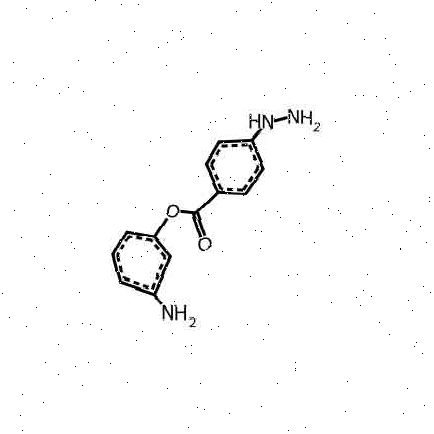 NNc1ccc(C(=O)Oc2cccc(N)c2)cc1